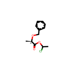 CC(Cl)OC(=O)[C@@H](C)OCc1ccccc1